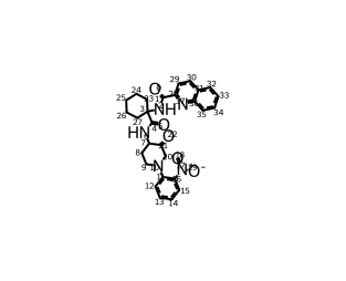 O=C(NC1(C(=O)NC2CCN(c3ccccc3[N+](=O)[O-])CC2=O)CCCCC1)c1ccc2ccccc2n1